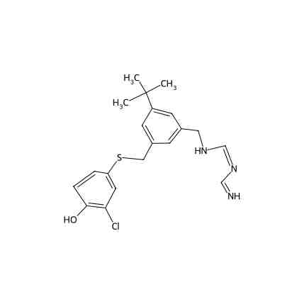 CC(C)(C)c1cc(CN/C=N\C=N)cc(CSc2ccc(O)c(Cl)c2)c1